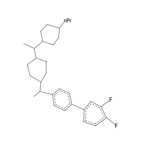 CCCC1CCC(C(C)C2CCC(C(C)c3ccc(-c4ccc(F)c(F)c4)cc3)CC2)CC1